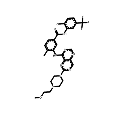 COCCN1CCN(c2ncc3ncnc(Nc4cc(C(=O)Nc5cc(C(F)(F)F)ccc5Cl)ccc4C)c3n2)CC1